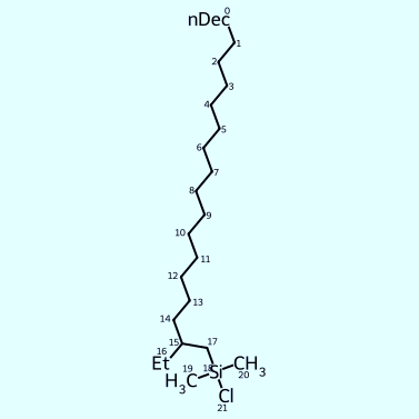 CCCCCCCCCCCCCCCCCCCCCCCCC(CC)C[Si](C)(C)Cl